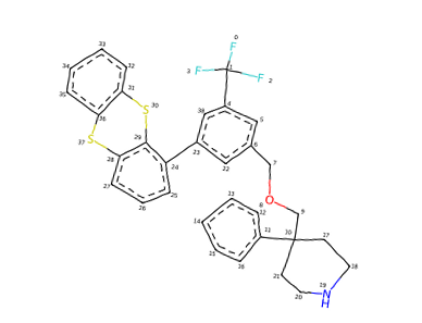 FC(F)(F)c1cc(COCC2(c3ccccc3)CCNCC2)cc(-c2cccc3c2Sc2ccccc2S3)c1